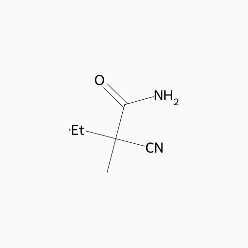 C[CH]C(C)(C#N)C(N)=O